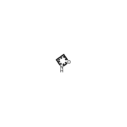 c1co[nH]1